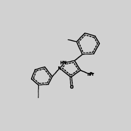 CCCc1c(-c2ccccc2C)[nH]n(-c2cccc(C)c2)c1=O